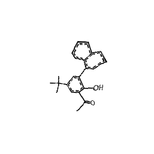 CC(=O)c1cc(C(C)(C)C)cc(-c2cccc3ccccc23)c1O